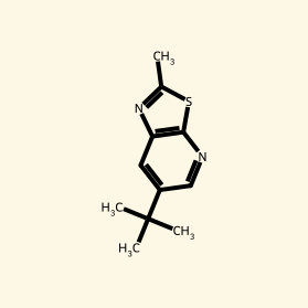 Cc1nc2cc(C(C)(C)C)cnc2s1